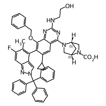 Cc1c(F)cc2nn(C(c3ccccc3)(c3ccccc3)c3ccccc3)cc2c1-c1c(C2CC2)cc2c(N3C[C@@H]4C[C@H]3CN4C(=O)O)nc(NCCO)nc2c1OCc1ccccc1